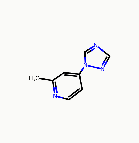 Cc1cc(-n2cncn2)ccn1